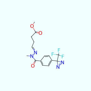 COC(=O)CC/C=N/N(C)C(=O)c1ccc(C2(C(F)(F)F)N=N2)cc1